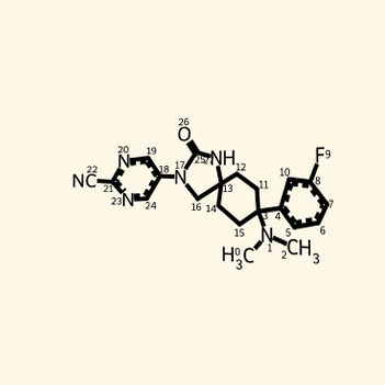 CN(C)C1(c2cccc(F)c2)CCC2(CC1)CN(c1cnc(C#N)nc1)C(=O)N2